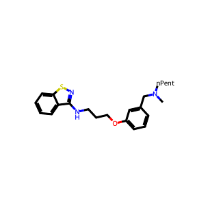 CCCCCN(C)Cc1cccc(OCCCNc2nsc3ccccc23)c1